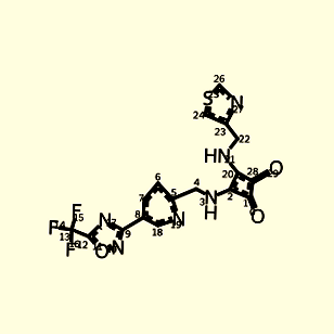 O=c1c(NCc2ccc(-c3noc(C(F)(F)F)n3)cn2)c(NCc2cscn2)c1=O